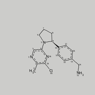 Cc1ncc(N2CCC[C@H]2c2ccc(CN)cc2)nc1Cl